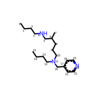 CCCCNCC(C)CCCN(CCCC)Cc1ccncc1